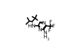 CC(C)[C@@H](Nc1cnc(C(F)(F)F)c(N)n1)C(C)(C)C